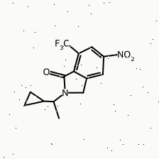 CC(C1CC1)N1Cc2cc([N+](=O)[O-])cc(C(F)(F)F)c2C1=O